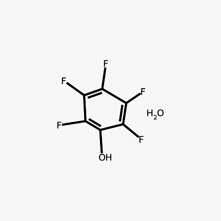 O.Oc1c(F)c(F)c(F)c(F)c1F